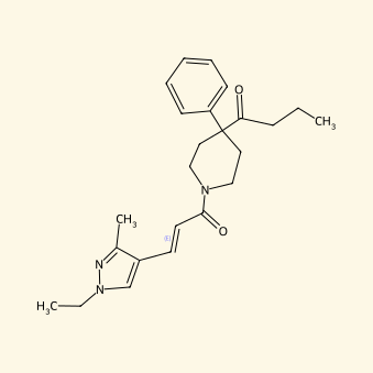 CCCC(=O)C1(c2ccccc2)CCN(C(=O)/C=C/c2cn(CC)nc2C)CC1